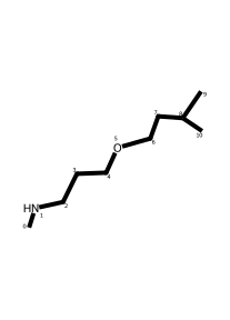 CNCCCOCCC(C)C